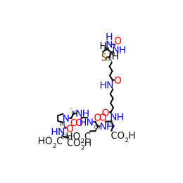 C[C@H](NC(=O)CNC(=O)[C@H](CCC(=O)O)NC(=O)[C@H](CCC(=O)O)NC(=O)CCCCCNC(=O)CCCC[C@@H]1SC[C@@H]2NC(=O)N[C@@H]21)C(=O)N1CCC[C@H]1C(=O)N[C@@H](CC(=O)O)C(=O)O